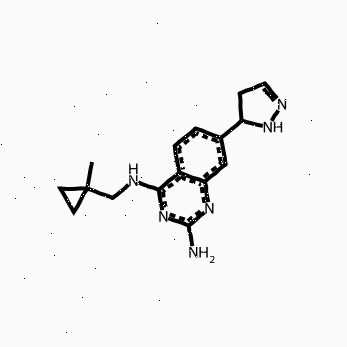 CC1(CNc2nc(N)nc3cc(C4CC=NN4)ccc23)CC1